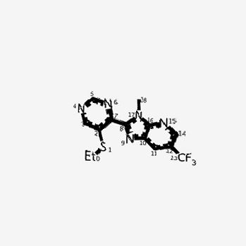 CCSc1cncnc1-c1nc2cc(C(F)(F)F)cnc2n1C